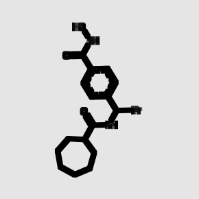 CC(C)C(NC(=O)C1CCCCCC1)c1ccc(C(=O)NO)cc1